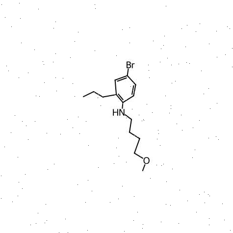 CCCc1cc(Br)ccc1NCCCCOC